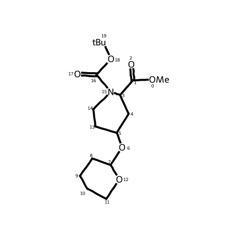 COC(=O)C1CC(OC2CCCCO2)CCN1C(=O)OC(C)(C)C